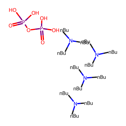 CCCCN(CCCC)CCCC.CCCCN(CCCC)CCCC.CCCCN(CCCC)CCCC.CCCCN(CCCC)CCCC.O=P(O)(O)OP(=O)(O)O